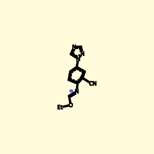 CCO/C=N/c1ccc(-n2cncn2)cc1C#N